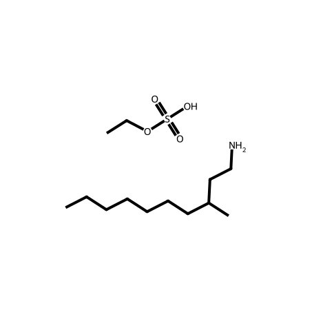 CCCCCCCC(C)CCN.CCOS(=O)(=O)O